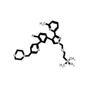 Cc1cccc(-c2nn(COCC[Si](C)(C)C)cc2-c2ccc(F)c(-c3ccc(CN4CCOCC4)cn3)c2)n1